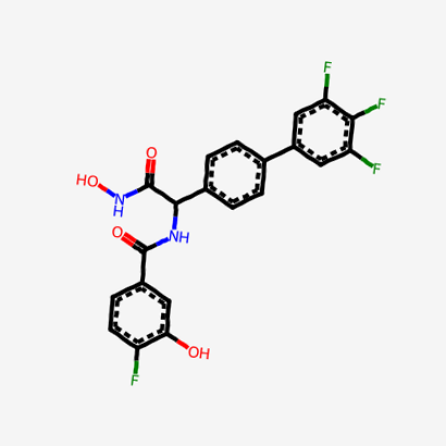 O=C(NC(C(=O)NO)c1ccc(-c2cc(F)c(F)c(F)c2)cc1)c1ccc(F)c(O)c1